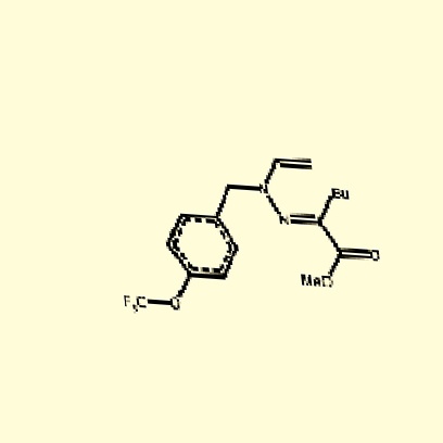 C=CN(Cc1ccc(OC(F)(F)F)cc1)/N=C(/C(=O)OC)C(C)CC